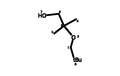 CC(C)(C)COC(C)(C)CO